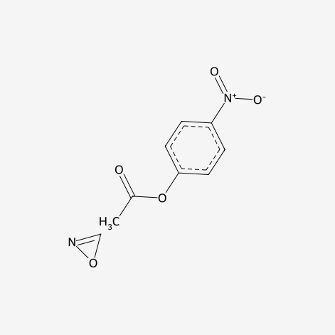 C1=NO1.CC(=O)Oc1ccc([N+](=O)[O-])cc1